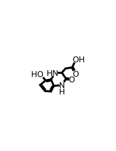 O=C(O)CC1Nc2c(O)cccc2NC1=O